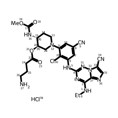 CCNc1nc(Nc2cc(C#N)cc(N3CC[C@@H](NC(=O)OC)[C@H](OC(=O)CCCN)C3)c2Cl)nn2c(C#N)cnc12.Cl